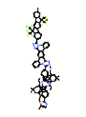 CCCC12CC(C)(C)CC(CCC)(CC(C)(C)C1)C21c2cc(-c3ncc(C)o3)ccc2-c2nc3c(nc21)-c1ccc(-c2nnc4c5cc6c7ccccc7n7c(-c8ccc9c(c8)C(C(F)(F)F)(C(F)(F)F)c8cc%10c(cc8-9)C(C(F)(F)F)(C(F)(F)F)c8cc(C)ccc8-%10)nnc7c6cc5c5ccccc5n24)cc1C31C2(CCC)CC(C)(C)CC1(CCC)CC(C)(C)C2